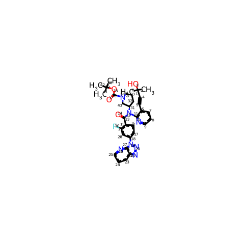 CC(C)(O)C#Cc1cccnc1N(C(=O)c1ccc(-n2nnc3cccnc32)cc1F)[C@@H]1CCCN(C(=O)OC(C)(C)C)C1